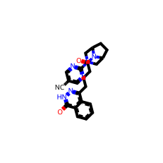 N#Cc1cnc(N2CC3CCC(C2)N3C(=O)CCCc2n[nH]c(=O)c3ccccc23)nc1